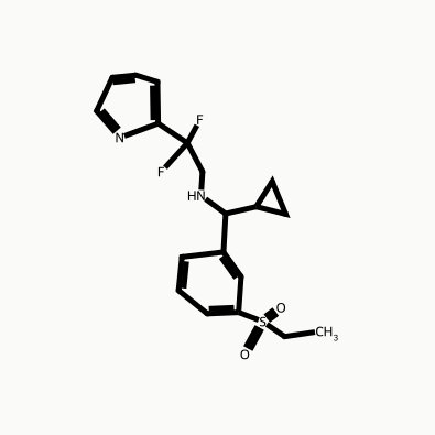 CCS(=O)(=O)c1cccc(C(NCC(F)(F)c2ccccn2)C2CC2)c1